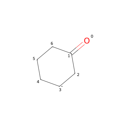 O=C1C[CH]CCC1